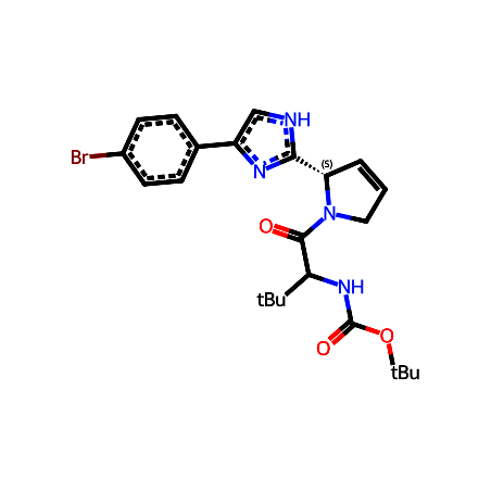 CC(C)(C)OC(=O)NC(C(=O)N1CC=C[C@H]1c1nc(-c2ccc(Br)cc2)c[nH]1)C(C)(C)C